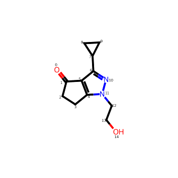 O=C1CCc2c1c(C1CC1)nn2CCO